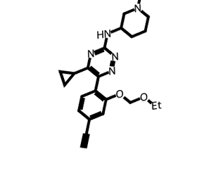 C#Cc1ccc(-c2nnc(NC3CCCN(C)C3)nc2C2CC2)c(OCOCC)c1